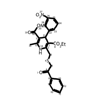 CCOC(=O)C1=C(CSCC(=O)c2ccccc2)NC(C)=C(C(=O)OC)C1c1cccc([N+](=O)[O-])c1